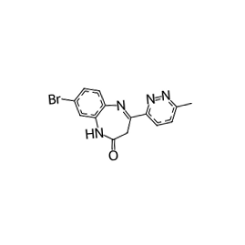 Cc1ccc(C2=Nc3ccc(Br)cc3NC(=O)C2)nn1